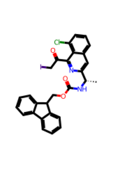 C[C@H](NC(=O)OCC1c2ccccc2-c2ccccc21)c1cc2cccc(Cl)c2c(C(=O)CI)n1